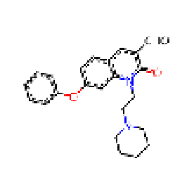 O=Cc1cc2ccc(Oc3ccccc3)cc2n(CCN2CCCCC2)c1=O